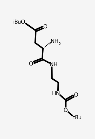 CC(C)COC(=O)C[C@H](N)C(=O)NCCNC(=O)OC(C)(C)C